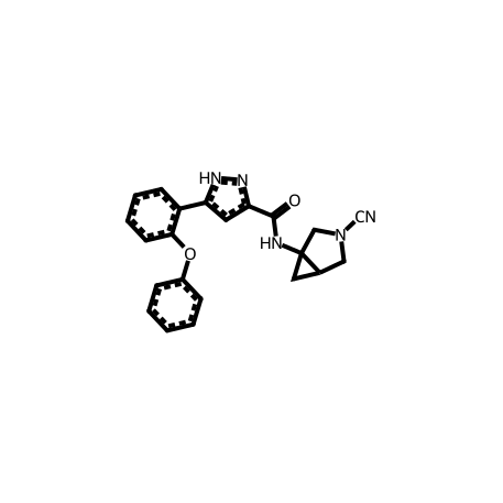 N#CN1CC2CC2(NC(=O)c2cc(-c3ccccc3Oc3ccccc3)[nH]n2)C1